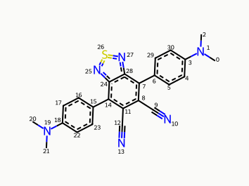 CN(C)c1ccc(-c2c(C#N)c(C#N)c(-c3ccc(N(C)C)cc3)c3nsnc23)cc1